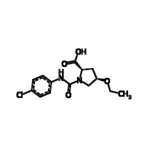 CCO[C@@H]1C[C@H](C(=O)O)N(C(=O)Nc2ccc(Cl)cc2)C1